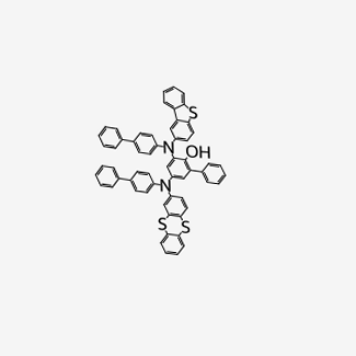 Oc1c(-c2ccccc2)cc(N(c2ccc(-c3ccccc3)cc2)c2ccc3c(c2)Sc2ccccc2S3)cc1N(c1ccc(-c2ccccc2)cc1)c1ccc2sc3ccccc3c2c1